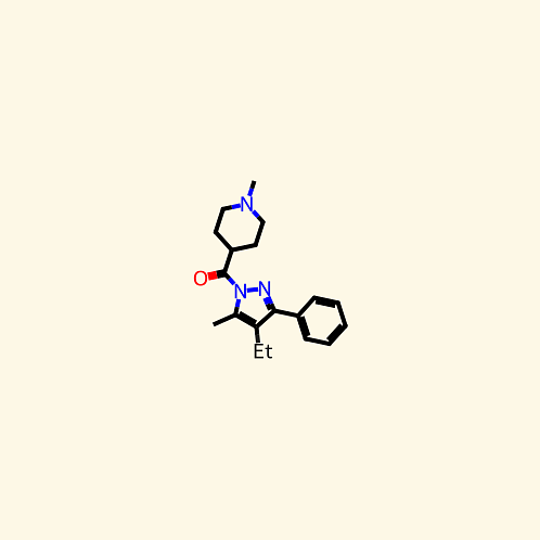 CCc1c(-c2ccccc2)nn(C(=O)C2CCN(C)CC2)c1C